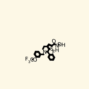 O=C(NO)c1cc2c(s1)C(c1ccccc1F)N(Cc1cccc(OC(F)(F)F)c1)CC2